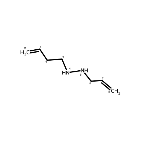 C=CCCNNCC=C